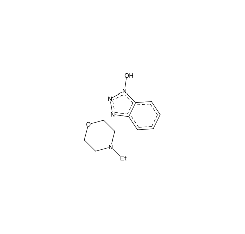 CCN1CCOCC1.On1nnc2ccccc21